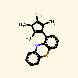 CC1=C(C)C(C)C(C)=C1c1cccc2c1Nc1ccccc1S2